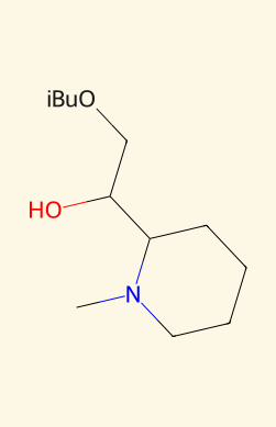 CC(C)COCC(O)C1CCCCN1C